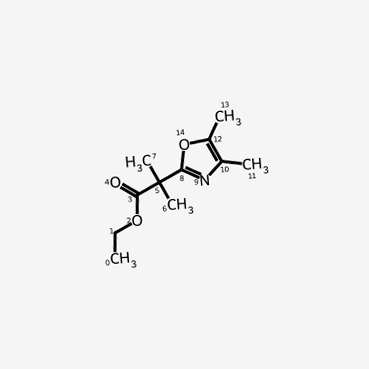 CCOC(=O)C(C)(C)c1nc(C)c(C)o1